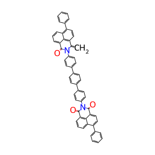 C=c1c2ccc(-c3ccccc3)c3cccc(c(=O)n1-c1ccc(-c4ccc(-c5ccc(N6C(=O)c7cccc8c(-c9ccccc9)ccc(c78)C6=O)cc5)cc4)cc1)c32